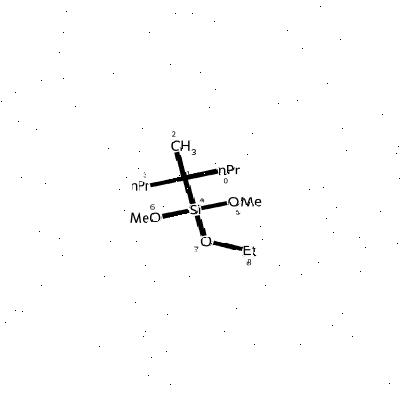 CCCC(C)(CCC)[Si](OC)(OC)OCC